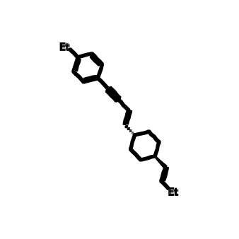 CCC=C[C@H]1CC[C@H](C=CC#Cc2ccc(CC)cc2)CC1